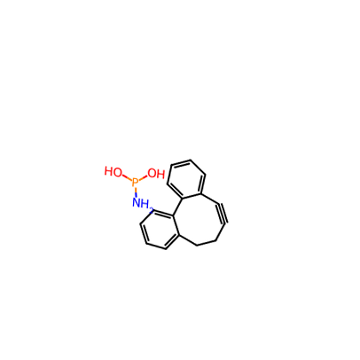 C1#Cc2ccccc2-c2ccccc2CC1.NP(O)O